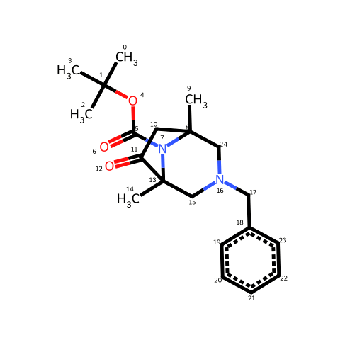 CC(C)(C)OC(=O)N1C2(C)CC(=O)C1(C)CN(Cc1ccccc1)C2